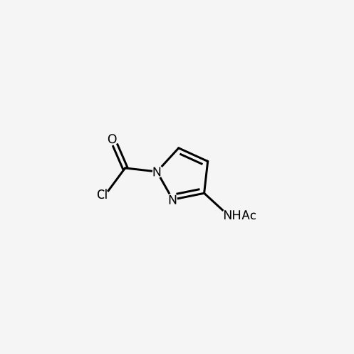 CC(=O)Nc1ccn(C(=O)Cl)n1